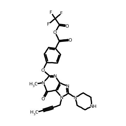 CC#CCn1c(N2CCNCC2)nc2nc(Oc3ccc(C(=O)OC(=O)C(F)(F)F)cc3)n(C)c(=O)c21